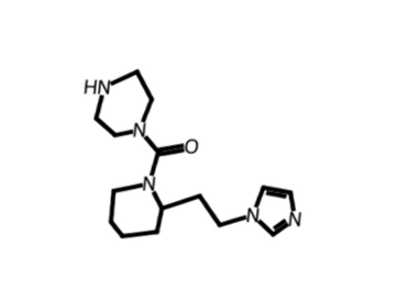 O=C(N1CCNCC1)N1CCCCC1CCn1ccnc1